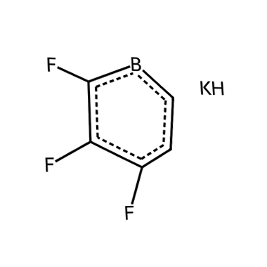 Fc1bccc(F)c1F.[KH]